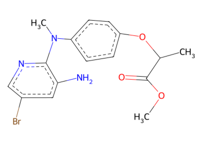 COC(=O)C(C)Oc1ccc(N(C)c2ncc(Br)cc2N)cc1